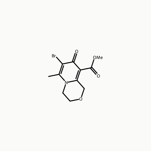 COC(=O)c1c2n(c(C)c(Br)c1=O)CCOC2